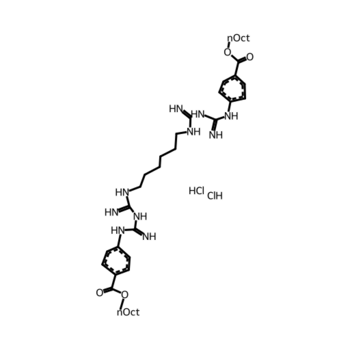 CCCCCCCCOC(=O)c1ccc(NC(=N)NC(=N)NCCCCCCNC(=N)NC(=N)Nc2ccc(C(=O)OCCCCCCCC)cc2)cc1.Cl.Cl